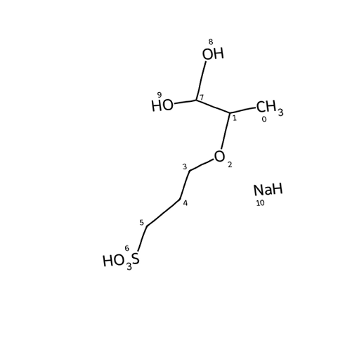 CC(OCCCS(=O)(=O)O)C(O)O.[NaH]